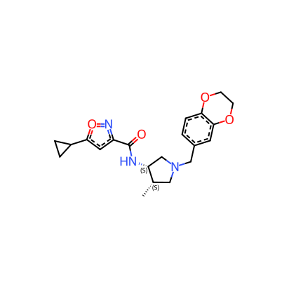 C[C@H]1CN(Cc2ccc3c(c2)OCCO3)C[C@H]1NC(=O)c1cc(C2CC2)on1